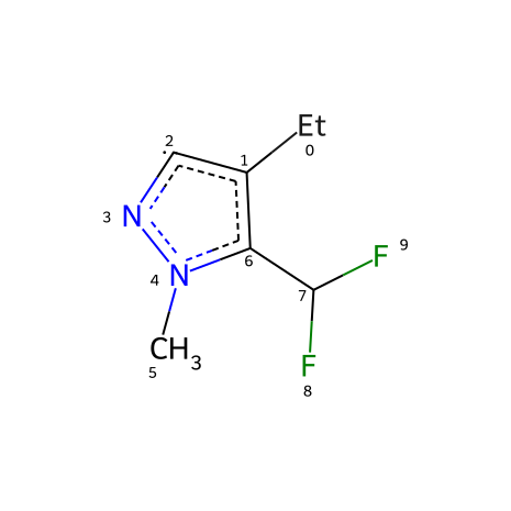 CCc1[c]nn(C)c1C(F)F